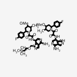 COC1CC(c2ccc(F)cc2)N(C(=O)C(=O)Nc2cnc(N)c3cn[nH]c23)CC1C.COC1CC(c2ccc(F)cc2)N(C(=O)C(=O)Nc2cnc(N)c3cnn(COCC[Si](C)(C)C)c23)CC1C